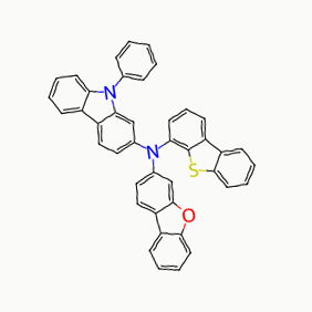 c1ccc(-n2c3ccccc3c3ccc(N(c4ccc5c(c4)oc4ccccc45)c4cccc5c4sc4ccccc45)cc32)cc1